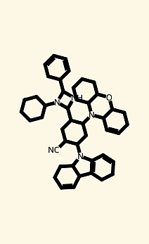 N#CC1CC(C2NC(C3C=CC=CC3)N2C2CCCCC2)C(N2C3C=CCCC3OC3CCCCC32)CC1N1C2=C(CCC=C2)C2C=CCCC21